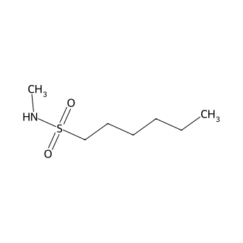 CCCCCCS(=O)(=O)NC